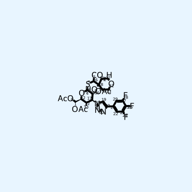 CC(=O)OC[C@H]1O[C@@H](SC(C(=O)O)C2(O)CCOCC2)[C@H](OC(C)=O)[C@@H](n2cc(-c3cc(F)c(F)c(F)c3)nn2)[C@H]1OC(C)=O